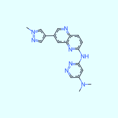 CN(C)c1cnnc(Nc2ccc3ncc(-c4cnn(C)c4)cc3n2)c1